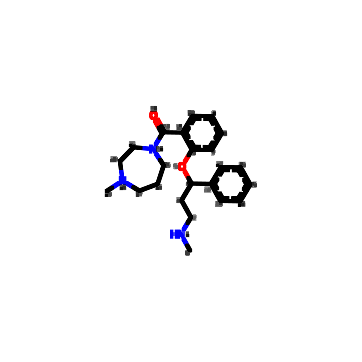 CNCCC(Oc1ccccc1C(=O)N1CCCN(C)CC1)c1ccccc1